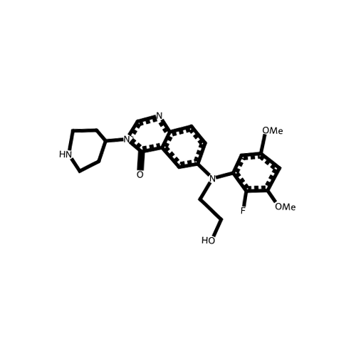 COc1cc(OC)c(F)c(N(CCO)c2ccc3ncn(C4CCNCC4)c(=O)c3c2)c1